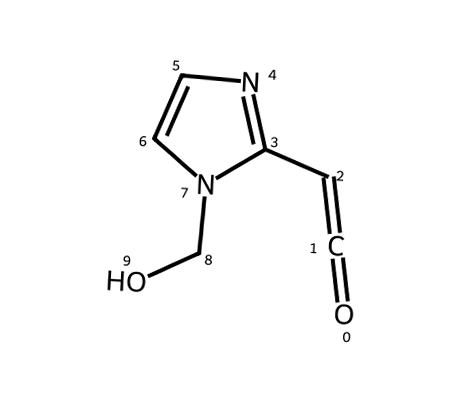 O=C=Cc1nccn1CO